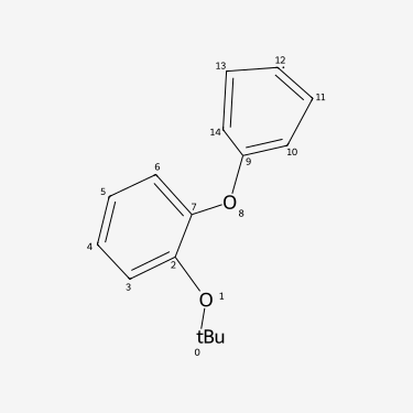 CC(C)(C)Oc1ccccc1Oc1cc[c]cc1